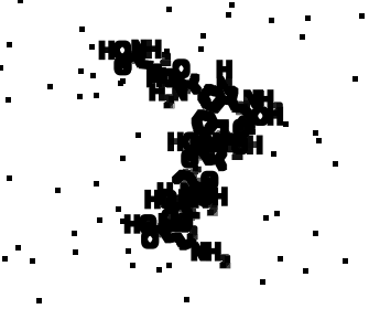 CC(C)C[C@H](N)C(=O)O.CC(C)[C@H](N)C(=O)O.CC[C@H](C)[C@H](N)C(=O)O.CSCC[C@H](N)C(=O)O.C[C@@H](O)[C@H](N)C(=O)O.NCCCC[C@H](N)C(=O)O.N[C@@H](Cc1c[nH]c2ccccc12)C(=O)O.N[C@@H](Cc1ccccc1)C(=O)O